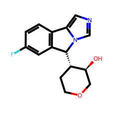 O[C@H]1COCC[C@@H]1C1c2cc(F)ccc2-c2cncn21